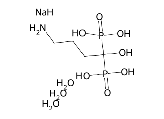 NCCCC(O)(P(=O)(O)O)P(=O)(O)O.O.O.O.[NaH]